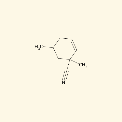 CC1CC=CC(C)(C#N)C1